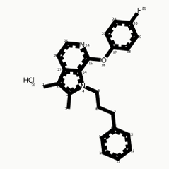 Cc1c(C)n(CCCc2ccccc2)c2c(Oc3ccc(F)cc3)nccc12.Cl